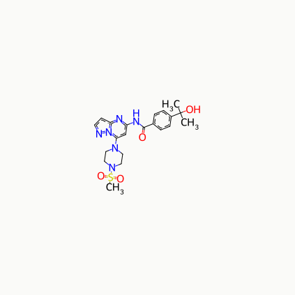 CC(C)(O)c1ccc(C(=O)Nc2cc(N3CCN(S(C)(=O)=O)CC3)n3nccc3n2)cc1